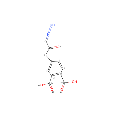 N=[N+]=CC(=O)Cc1ccc(C(=O)O)c(C(=O)[O-])c1